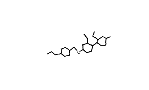 CCCC1CCC(COC2CCC(C3CCC(C)CC3CC)C(CC)C2)CC1